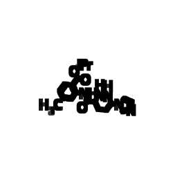 Cc1ccc(C(=O)OC(C)C)c(NC(=O)C2CCC(n3ccnc3)NN2)c1